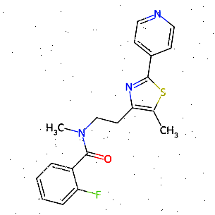 Cc1sc(-c2ccncc2)nc1CCN(C)C(=O)c1cc[c]cc1F